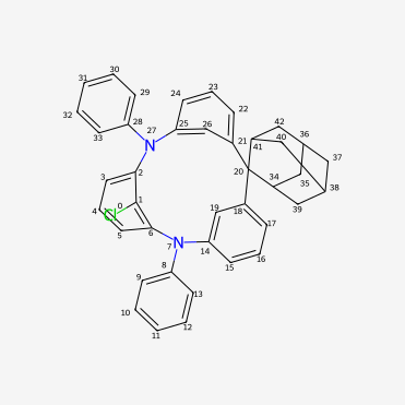 Clc1c2cccc1N(c1ccccc1)c1cccc(c1)C1(c3cccc(c3)N2c2ccccc2)C2CC3CC(C2)CC1C3